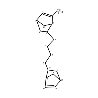 CC1=CC2CC(CCCCC3CC4C=CC3C4)C1C2